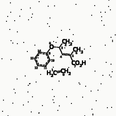 C=C.[CH2]C(C=C(C)C(=O)O)Oc1ccccc1